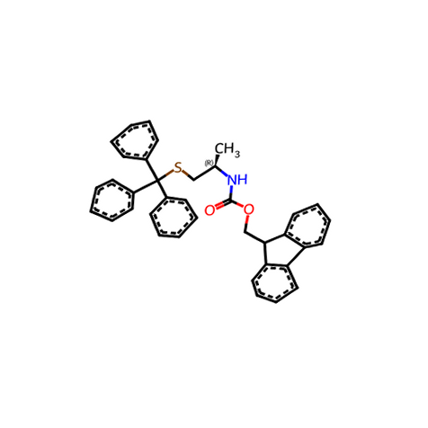 C[C@H](CSC(c1ccccc1)(c1ccccc1)c1ccccc1)NC(=O)OCC1c2ccccc2-c2ccccc21